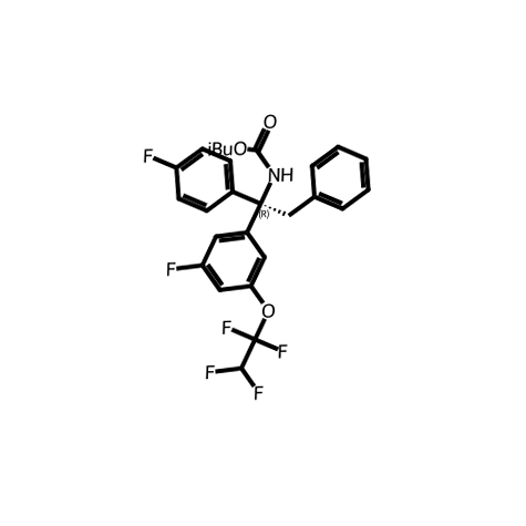 CC(C)COC(=O)N[C@](Cc1ccccc1)(c1ccc(F)cc1)c1cc(F)cc(OC(F)(F)C(F)F)c1